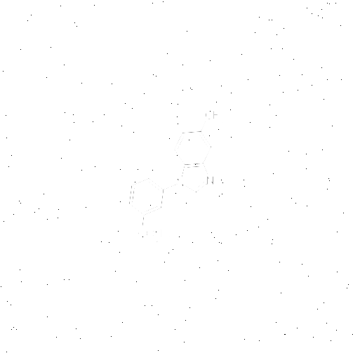 CCOC(=O)c1cccc(-n2cnc3cc(C(F)(F)F)ccc32)c1